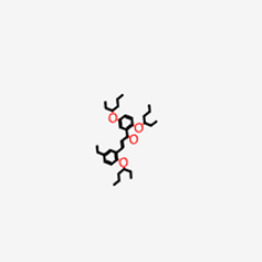 CCCC(CC)Oc1ccc(OC(CC)CCC)c(C(=O)C=Cc2cc(CC)ccc2OC(CC)CCC)c1